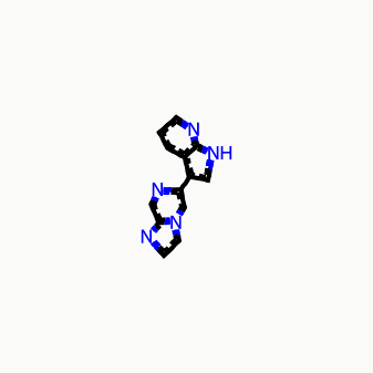 c1cnc2[nH]cc(-c3cn4ccnc4cn3)c2c1